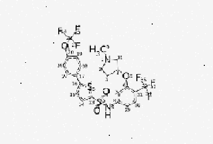 CN1CCC(Oc2cc(NS(=O)(=O)c3ccc(-c4ccc(OC(F)(F)F)cc4)s3)ccc2C(F)(F)F)C1